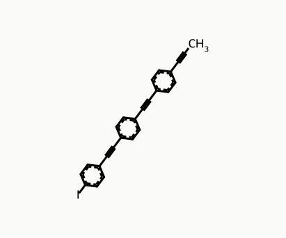 CC#Cc1ccc(C#Cc2ccc(C#Cc3ccc(I)cc3)cc2)cc1